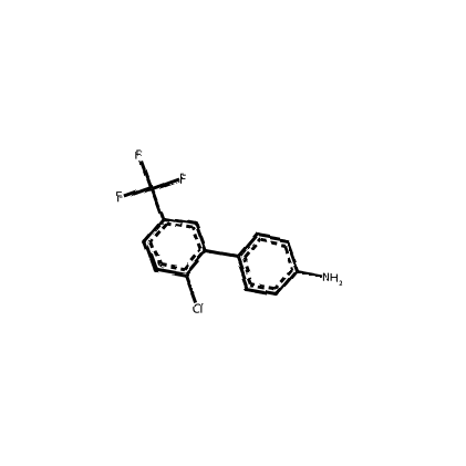 Nc1ccc(-c2cc(C(F)(F)F)ccc2Cl)cc1